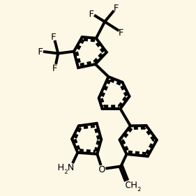 C=C(Oc1ccccc1N)c1cccc(-c2ccc(-c3cc(C(F)(F)F)cc(C(F)(F)F)c3)cc2)c1